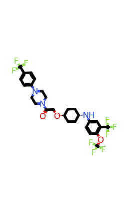 O=C(CO[C@H]1CC[C@@H](Nc2ccc(OC(F)(F)F)c(C(F)(F)F)c2)CC1)N1CCN(c2ccc(C(F)(F)F)cc2)CC1